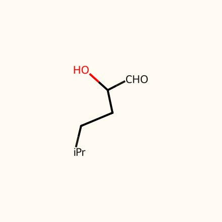 CC(C)CCC(O)C=O